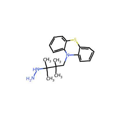 CC(C)(CN1c2ccccc2Sc2ccccc21)C(C)(C)NN